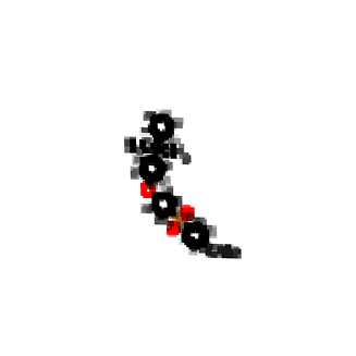 COc1ccc(S(=O)(=O)c2ccc(Oc3ccc(C(C)(C)c4ccccc4)cc3)cc2)cc1